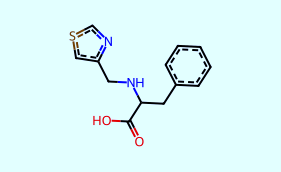 O=C(O)C(Cc1ccccc1)NCc1cscn1